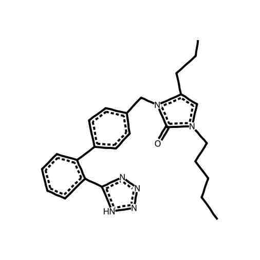 CCCCCn1cc(CCC)n(Cc2ccc(-c3ccccc3-c3nnn[nH]3)cc2)c1=O